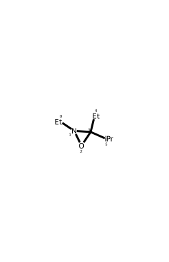 CCN1OC1(CC)C(C)C